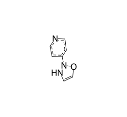 C1=CON(c2ccncc2)N1